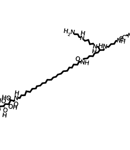 NCCCNCCCCNCC(CCCCCCNC(=O)CCCCCCCCCCCCCCCCCCCCCCCNC(=O)[C@H](O)[C@@H](O)[C@H](O)[C@H](O)CO)CNCCCCNCCCN